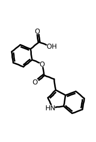 O=C(Cc1c[nH]c2ccccc12)Oc1ccccc1C(=O)O